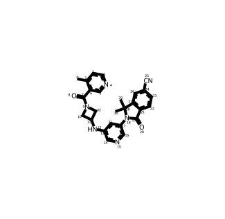 Cc1ccncc1C(=O)N1CC(Nc2cncc(N3C(=O)c4ccc(C#N)cc4C3(C)C)c2)C1